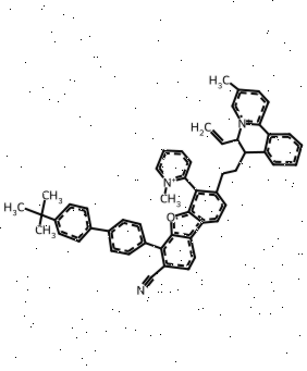 C=CC1C(CCc2ccc3c(oc4c(-c5ccc(-c6ccc(C(C)(C)C)cc6)cc5)c(C#N)ccc43)c2-c2cccc[n+]2C)c2ccccc2-c2ccc(C)c[n+]21